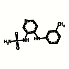 Cc1cccc(Nc2ccncc2NS(N)(=O)=O)c1